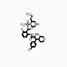 COCC1CNC[C@H](CCc2c(F)cccc2NC(=O)[C@@H](N)C(c2ccc(Cl)cc2)C2CCOCC2)N1S(C)(=O)=O